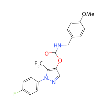 COc1ccc(CNC(=O)Oc2cnn(-c3ccc(F)cc3)c2C(F)(F)F)cc1